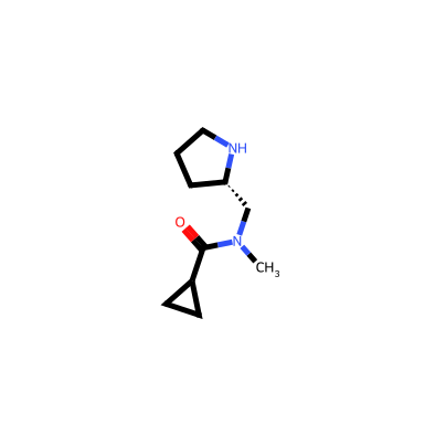 CN(C[C@@H]1CCCN1)C(=O)C1CC1